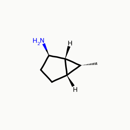 C[C@@H]1[C@@H]2CC[C@@H](N)[C@H]12